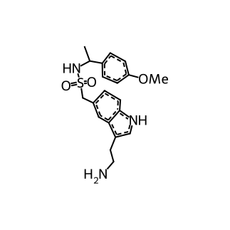 COc1ccc(C(C)NS(=O)(=O)Cc2ccc3[nH]cc(CCN)c3c2)cc1